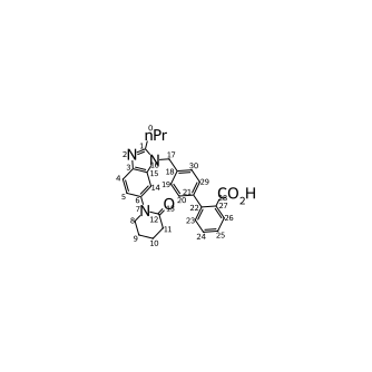 CCCc1nc2ccc(N3CCCCC3=O)cc2n1Cc1ccc(-c2ccccc2C(=O)O)cc1